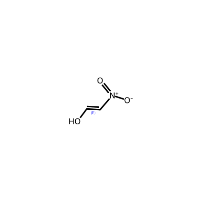 O=[N+]([O-])/C=C/O